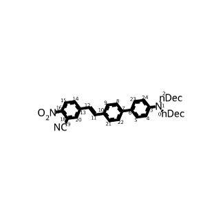 CCCCCCCCCCN(CCCCCCCCCC)c1ccc(-c2ccc(C=Cc3ccc([N+](=O)[O-])c(C#N)c3)cc2)cc1